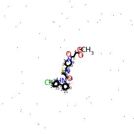 COC(=O)CCC(=O)N1CCC(c2nc(C(=O)Nc3ccccc3-c3ccc(Cl)cc3)cs2)CC1